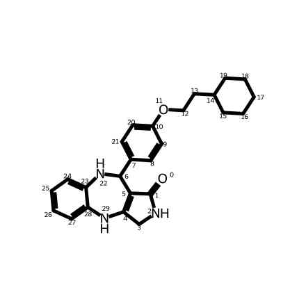 O=C1NCC2=C1C(c1ccc(OCCC3CCCCC3)cc1)Nc1ccccc1N2